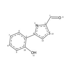 O=Cc1nc(-c2ccccc2O)cs1